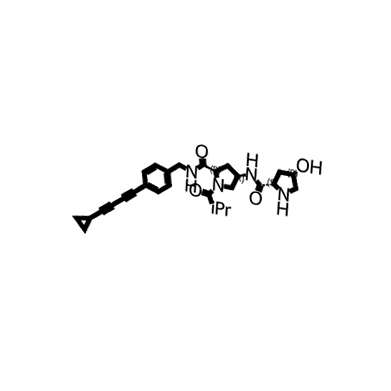 CC(C)C(=O)N1C[C@H](NC(=O)[C@@H]2C[C@@H](O)CN2)C[C@@H]1C(=O)NCc1ccc(C#CC#CC2CC2)cc1